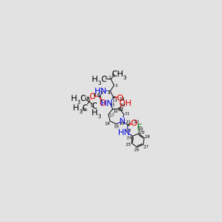 CC(C)CC(NC(=O)OC(C)(C)C)C(=O)NC1CCCN(C(=O)Nc2ccccc2F)C[C@@H]1O